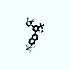 COc1c(C2=CC3C=CC(NS(C)(=O)=O)=CC3C=C2)cc(N2CCNC2=O)cc1C(C)(C)C